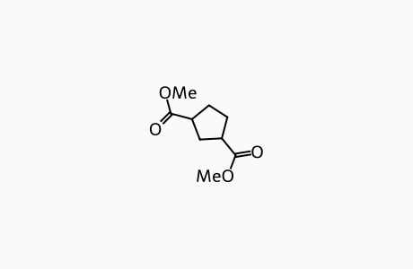 COC(=O)C1CCC(C(=O)OC)C1